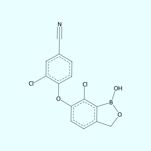 N#Cc1ccc(Oc2ccc3c(c2Cl)B(O)OC3)c(Cl)c1